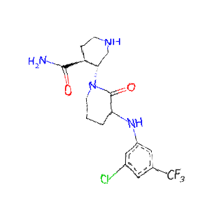 NC(=O)[C@H]1CCNC[C@@H]1N1CCCC(Nc2cc(Cl)cc(C(F)(F)F)c2)C1=O